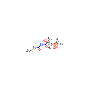 CC(C)C(C)OP(=O)(O)OCC(C)(C)C(O)C(=O)NCCC(=O)NCCSC(C)(C)C